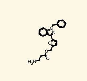 NCCC(=O)OCc1ccc(-c2nn(Cc3ccccc3)c3ccccc23)o1